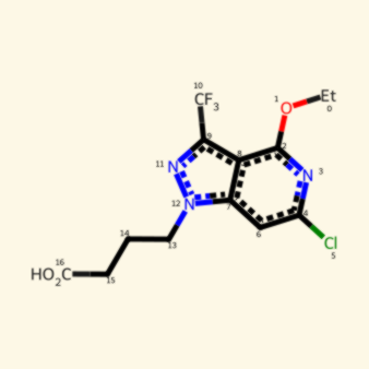 CCOc1nc(Cl)cc2c1c(C(F)(F)F)nn2CCCC(=O)O